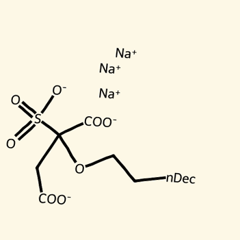 CCCCCCCCCCCCOC(CC(=O)[O-])(C(=O)[O-])S(=O)(=O)[O-].[Na+].[Na+].[Na+]